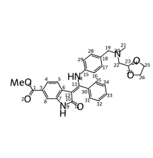 COC(=O)c1ccc2c(c1)NC(=O)C2=C(Nc1ccc(CN(C)CC2OCCO2)cc1)c1ccccc1